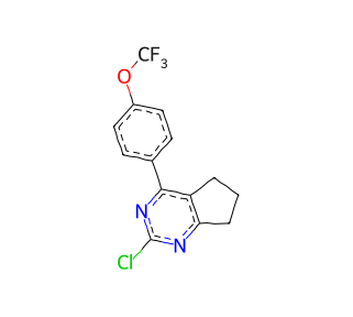 FC(F)(F)Oc1ccc(-c2nc(Cl)nc3c2CCC3)cc1